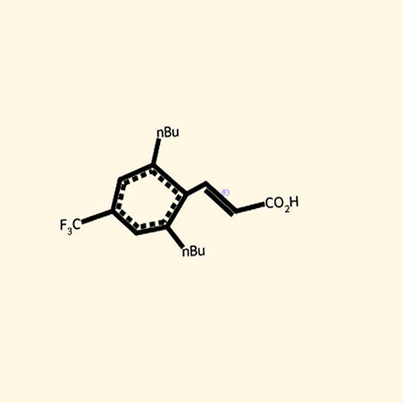 CCCCc1cc(C(F)(F)F)cc(CCCC)c1/C=C/C(=O)O